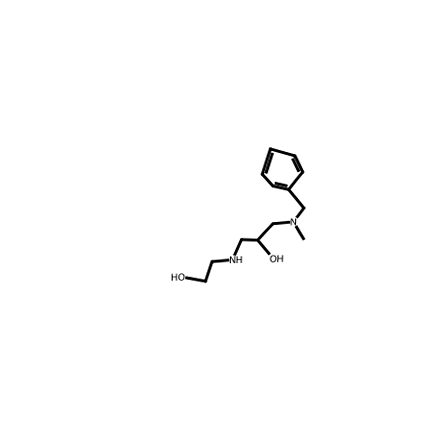 CN(Cc1ccccc1)CC(O)CNCCO